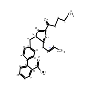 C/C=C/Cc1nc(C(=O)CCCC)nn1Cc1ccc(-c2ccccc2C(=O)O)cc1